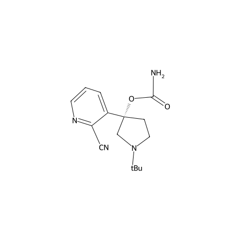 CC(C)(C)N1CC[C@](OC(N)=O)(c2cccnc2C#N)C1